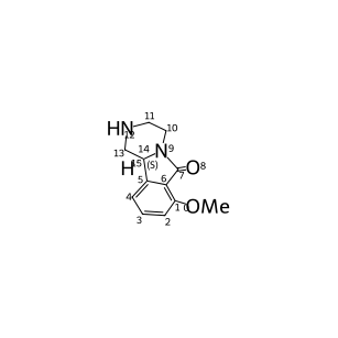 COc1cccc2c1C(=O)N1CCNC[C@H]21